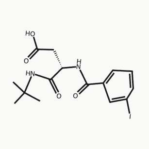 CC(C)(C)NC(=O)[C@H](CC(=O)O)NC(=O)c1cccc(I)c1